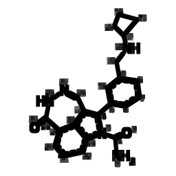 NC(=O)n1c(-c2cccc(CNC3CCC3)c2)c2c3c(c[c]cc31)C(=O)NN=C2